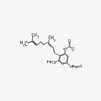 CCCCCc1cc(O)c(CC=C(C)CCC=C(C)C)c(OC(=O)Cl)c1